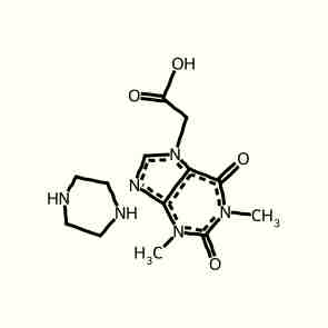 C1CNCCN1.Cn1c(=O)c2c(ncn2CC(=O)O)n(C)c1=O